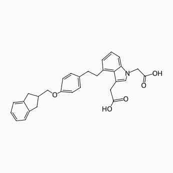 O=C(O)Cc1cn(CC(=O)O)c2cccc(CCc3ccc(OCC4Cc5ccccc5C4)cc3)c12